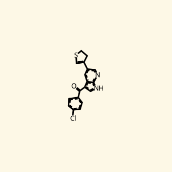 O=C(c1ccc(Cl)cc1)c1c[nH]c2ncc(C3=CSCC3)cc12